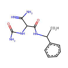 N=C(N)C(NC(N)=O)C(=O)NC(C(=O)O)c1ccccc1